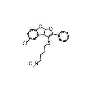 O=[N+]([O-])CCCCSC1=C(c2ccccc2)OC2Oc3ccc(Cl)cc3C12